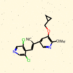 COc1ncc(C(C#N)=Cc2c(Cl)cncc2Cl)cc1OCC1CC1